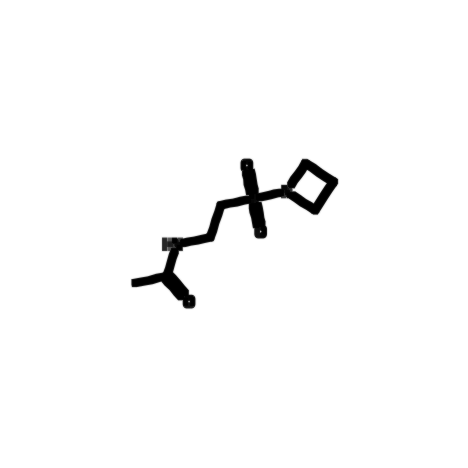 CC(=O)NCCS(=O)(=O)N1CCC1